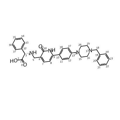 O=C(O)[C@@H](NCc1ccc(-c2ccc(N3CCN(Cc4ccccc4)CC3)cc2)[nH]c1=O)c1ccccc1